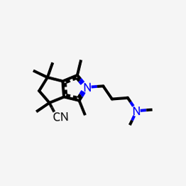 Cc1c2c(c(C)n1CCCN(C)C)C(C)(C#N)CC2(C)C